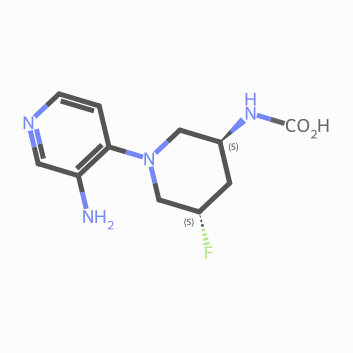 Nc1cnccc1N1C[C@@H](F)C[C@H](NC(=O)O)C1